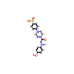 COc1ccc(N(C)CC(=O)N2CCN(c3ccc([SH](=O)=O)cc3)CC2)cc1